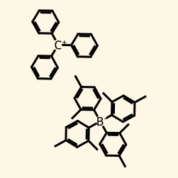 Cc1ccc([B-](c2ccc(C)cc2C)(c2ccc(C)cc2C)c2ccc(C)cc2C)c(C)c1.c1ccc([C+](c2ccccc2)c2ccccc2)cc1